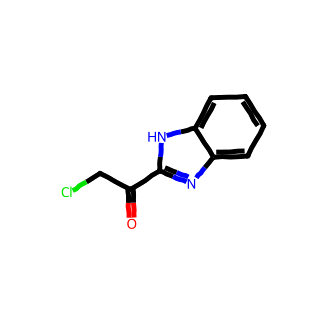 O=C(CCl)c1nc2ccccc2[nH]1